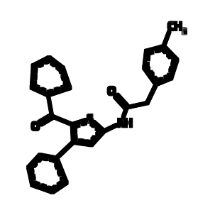 Cc1ccc(CC(=O)Nc2cc(-c3ccccc3)c(C(=O)c3ccccc3)s2)cc1